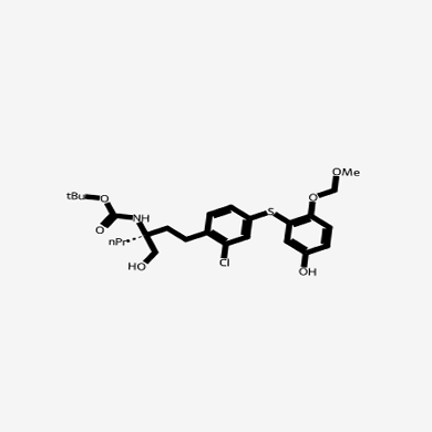 CCC[C@@](CO)(CCc1ccc(Sc2cc(O)ccc2OCOC)cc1Cl)NC(=O)OC(C)(C)C